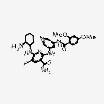 COc1ccc(C(=O)Nc2cncc(Nc3nc(NC4CCCCC4N)c(F)cc3C(N)=O)c2)c(OC)c1